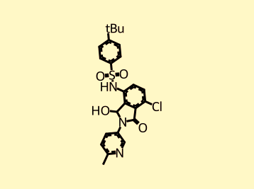 Cc1ccc(N2C(=O)c3c(Cl)ccc(NS(=O)(=O)c4ccc(C(C)(C)C)cc4)c3C2O)cn1